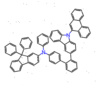 c1ccc(N(c2ccc(-c3ccccc3-c3ccc4c(c3)c3ccccc3n4-c3cc4ccccc4c4ccccc34)cc2)c2ccc3c(c2)C(c2ccccc2)(c2ccccc2)c2ccccc2-3)cc1